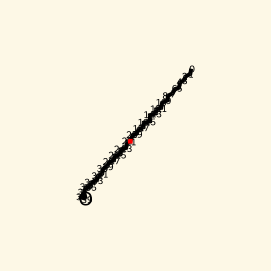 CCCCCCCCCCCCCCCCCCCCCCCCCCCCCCCCCCCCCC1CO1